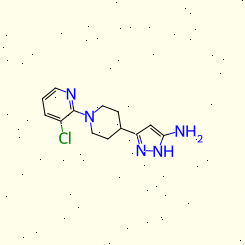 Nc1cc(C2CCN(c3ncccc3Cl)CC2)n[nH]1